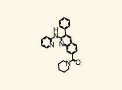 O=C(c1ccc2cc(-c3ccccc3)c(Nc3ccccn3)nc2c1)N1CCCCC1